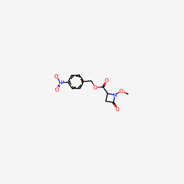 CON1C(=O)CC1C(=O)OCc1ccc([N+](=O)[O-])cc1